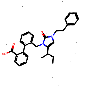 CCC(C)c1cn(CCc2ccccc2)c(=O)n1Cc1ccccc1-c1ccccc1C(=O)O